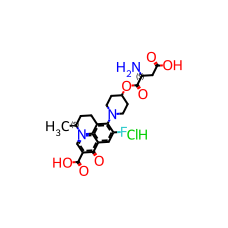 C[C@H]1CCc2c(N3CCC(OC(=O)[C@@H](N)CC(=O)O)CC3)c(F)cc3c(=O)c(C(=O)O)cn1c23.Cl